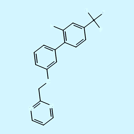 Fc1cc(C(F)(F)F)ccc1-c1cccc(OCc2ncccn2)c1